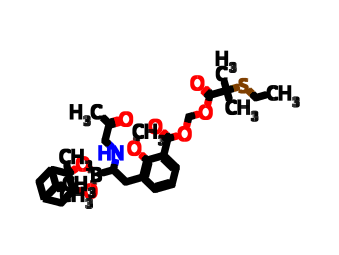 CCSC(C)(C)C(=O)OCOC(=O)c1cccc(CC(NCC(C)=O)B2OC3CC4CC(C4(C)C)C3(C)O2)c1OC